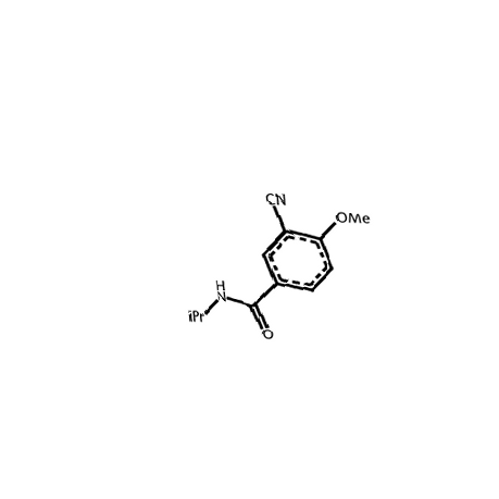 COc1ccc(C(=O)NC(C)C)cc1C#N